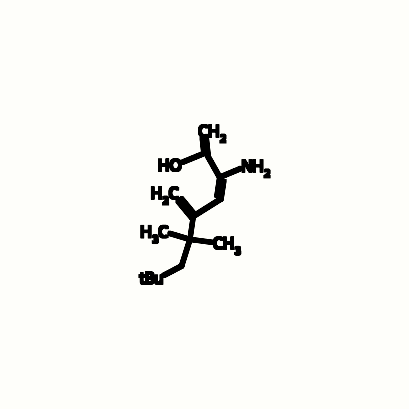 C=C(O)/C(N)=C\C(=C)C(C)(C)CC(C)(C)C